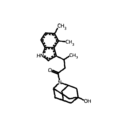 Cc1ccc2[nH]cc(C(C)CC(=O)N3C4CC5CC3CC(O)(C5)C4)c2c1C